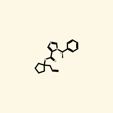 C=CCC1(OC(=O)c2cncn2[C@H](C)c2ccccc2)CCCC1